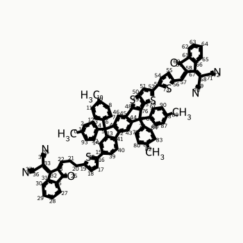 Cc1ccc(C2(c3ccc(C)cc3)c3cc(-c4ccc(CC/C=C5\C(=O)c6ccccc6C5=C(C#N)C#N)s4)ccc3-c3cc4c(cc32)-c2sc3cc(-c5ccc(/C=C6\C(=O)c7ccccc7C6=C(C#N)C#N)s5)sc3c2C4(c2ccc(C)cc2)c2ccc(C)cc2)cc1